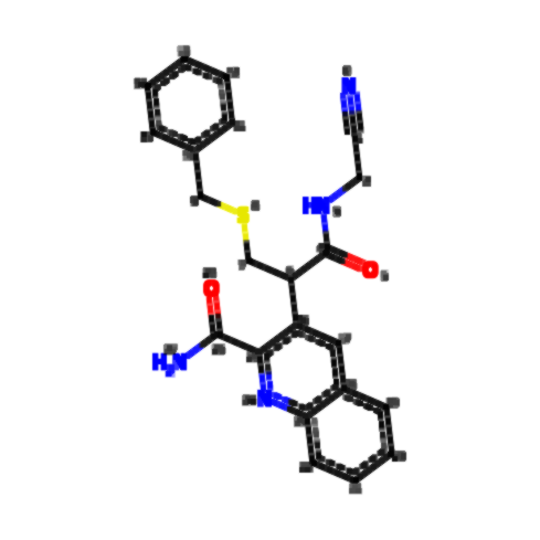 N#CCNC(=O)C(CSCc1ccccc1)c1cc2ccccc2nc1C(N)=O